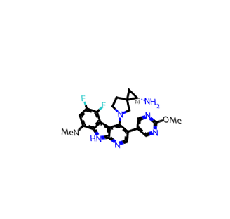 CNc1cc(F)c(F)c2c1[nH]c1ncc(-c3cnc(OC)nc3)c(N3CCC4(C[C@@H]4N)C3)c12